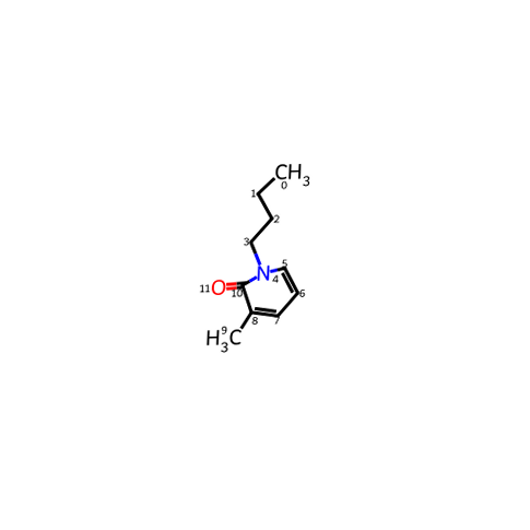 CCCCn1cccc(C)c1=O